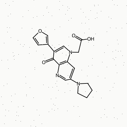 O=C(O)Cn1cc(-c2ccoc2)c(=O)c2ncc(N3CCCC3)cc21